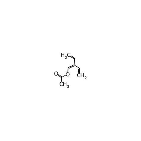 C=CC(C=C)=COC(C)=O